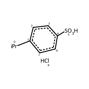 CC(C)c1ccc(S(=O)(=O)O)cc1.Cl